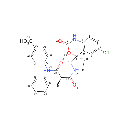 O=C1Nc2ccc(Cl)cc2[C@]2(CCN(C(=O)[C@@H](Cc3ccccc3)C(=O)Nc3ccc(C(=O)O)cc3)C2)O1